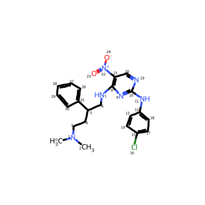 CN(C)CCC(CNc1nc(Nc2ccc(Cl)cc2)ncc1[N+](=O)[O-])c1ccccc1